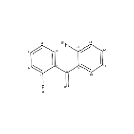 [CH]=C(c1ccccc1F)c1ccccc1F